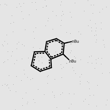 CCCCc1ccc2[c]cccc2c1CCCC